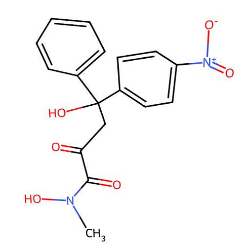 CN(O)C(=O)C(=O)CC(O)(c1ccccc1)c1ccc([N+](=O)[O-])cc1